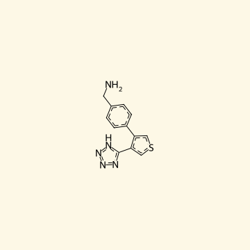 NCc1ccc(-c2cscc2-c2nnn[nH]2)cc1